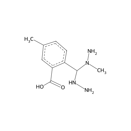 Cc1ccc(C(NN)N(C)N)c(C(=O)O)c1